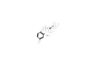 CC(C)(C)NC(=O)N[SH](=O)(Cl)c1cc(F)ccc1Cl